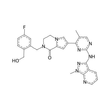 Cc1cnc(Nc2nn(C)c3ncccc23)nc1-c1cc2n(c1)CCN(Cc1cc(F)ccc1CO)C2=O